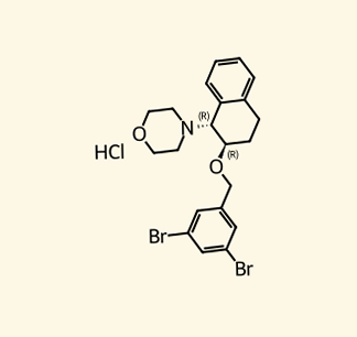 Brc1cc(Br)cc(CO[C@@H]2CCc3ccccc3[C@H]2N2CCOCC2)c1.Cl